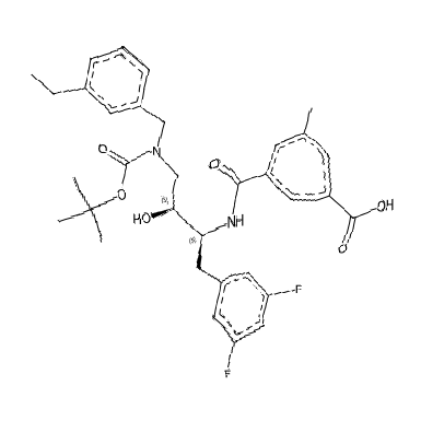 CCc1cccc(CN(C[C@H](O)[C@H](Cc2cc(F)cc(F)c2)NC(=O)c2cc(C)cc(C(=O)O)c2)C(=O)OC(C)(C)C)c1